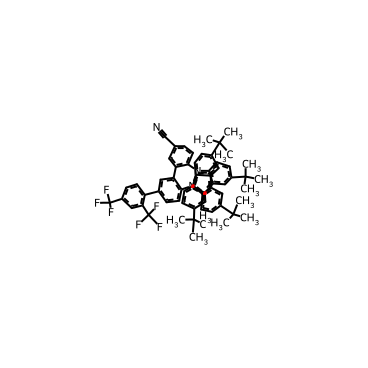 CC(C)(C)c1ccc2c(c1)c1cc(C(C)(C)C)ccc1n2-c1ccc(C#N)cc1-c1cc(-c2ccc(C(F)(F)F)cc2C(F)(F)F)ccc1-n1c2ccc(C(C)(C)C)cc2c2cc(C(C)(C)C)ccc21